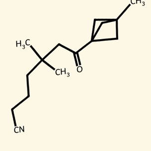 CC(C)(CCCC#N)CC(=O)C12CC(C)(C1)C2